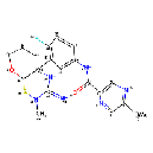 COc1cnc(C(=O)Nc2ccc(F)c(C34CCCOC3SN(C)C(=N)N4)c2)cn1